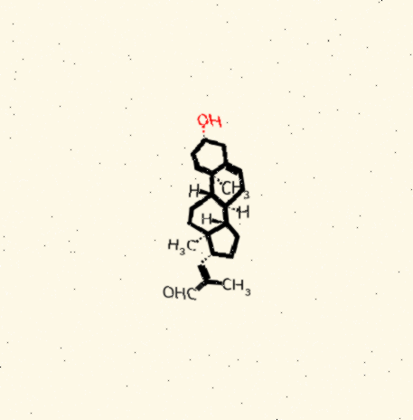 C/C(C=O)=C\[C@H]1CC[C@H]2[C@@H]3CC=C4C[C@@H](O)CC[C@]4(C)[C@H]3CC[C@]12C